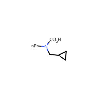 CCCN(CC1CC1)C(=O)O